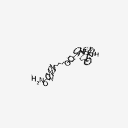 CCN(C(=O)c1ccc(OCCCCCN2CCN(c3ccc(C(N)=O)cn3)CC2)cc1)C1CCC(=O)NC1=O